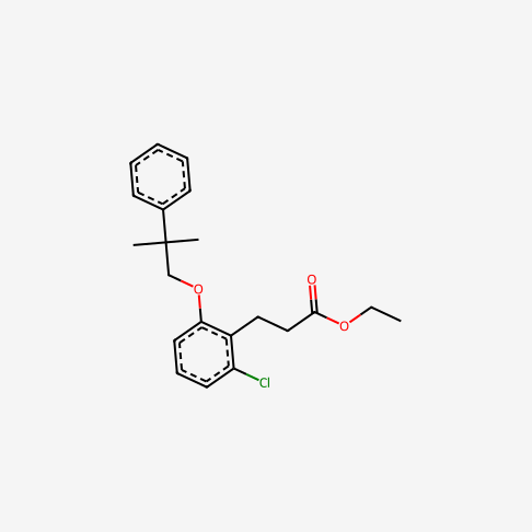 CCOC(=O)CCc1c(Cl)cccc1OCC(C)(C)c1ccccc1